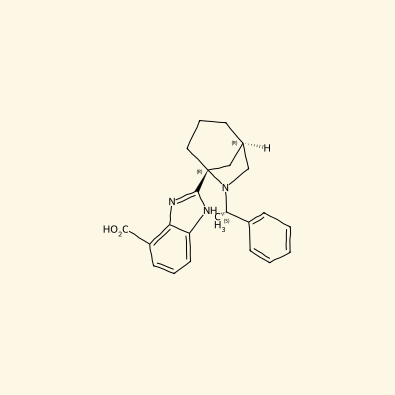 C[C@@H](c1ccccc1)N1C[C@@H]2CCC[C@]1(c1nc3c(C(=O)O)cccc3[nH]1)C2